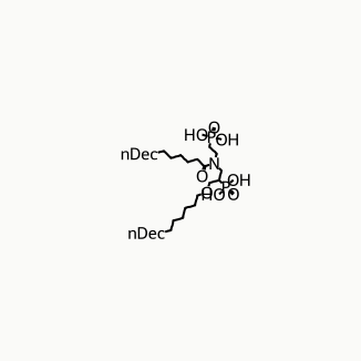 CCCCCCCCCCCCCCCCOCC(CN(CCP(=O)(O)O)C(=O)CCCCCCCCCCCCCCC)P(=O)(O)O